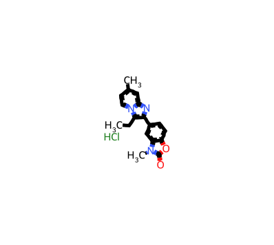 CCc1c(-c2ccc3oc(=O)n(C)c3c2)nc2cc(C)ccn12.Cl